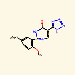 CCCOc1ccc(OC)cc1-c1ncc(-c2nnn[nH]2)c(=O)[nH]1